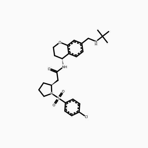 CC(C)(C)NCc1ccc2c(c1)OCC[C@H]2NC(=O)C[C@@H]1CCCN1S(=O)(=O)c1ccc(Cl)cc1